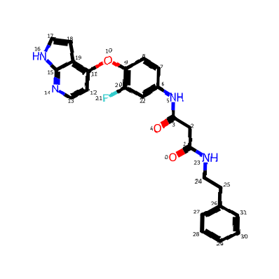 O=C(CC(=O)Nc1ccc(Oc2ccnc3[nH]ccc23)c(F)c1)NCCc1ccccc1